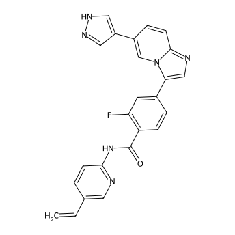 C=Cc1ccc(NC(=O)c2ccc(-c3cnc4ccc(-c5cn[nH]c5)cn34)cc2F)nc1